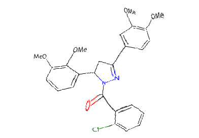 COc1ccc(C2=NN(C(=O)c3ccccc3Cl)C(c3cccc(OC)c3OC)C2)cc1OC